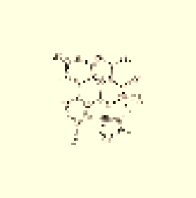 CCC(CC)N1C(=O)[C@@](C)(Cc2nnn[nH]2)CC(c2cccc(Cl)c2)[C@H]1c1ccc(Cl)cc1